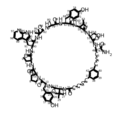 CCC1NC(=O)[C@@H]2CCCN2C(=O)[C@H](Cc2ccc(O)cc2)NC(=O)C(C(C)(C)C)NC(=O)CCSCc2cccc(c2)CSC[C@@H](C(N)=O)NC(=O)[C@H](CO)NC(=O)[C@](C)(C(C)C)NC(=O)[C@H](Cc2ccc(O)cc2)NC(=O)[C@H](C)NC(=O)C(C)(C)NC(=O)[C@H](Cc2c[nH]c3ncccc23)NC1=O